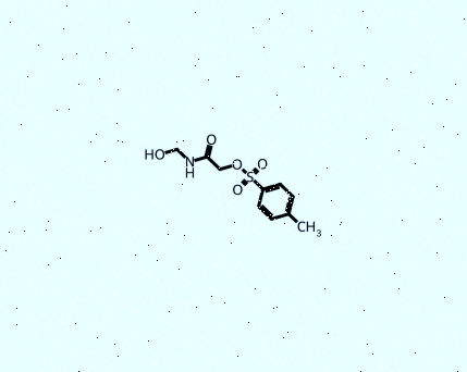 Cc1ccc(S(=O)(=O)OCC(=O)NCO)cc1